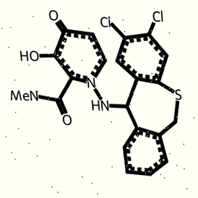 CNC(=O)c1c(O)c(=O)ccn1NC1c2ccccc2CSc2cc(Cl)c(Cl)cc21